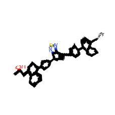 CC(C)Cc1ccc(-c2ccc(-c3ccc(-c4ccc(-c5ccc(CC(C)O)c6ccccc56)cc4)c4nsnc34)cc2)c2ccccc12